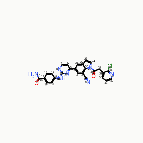 N#Cc1cc(-c2ccnc(Nc3ccc(C(N)=O)cc3)n2)cc2ccn(C(=O)Cc3cccnc3Cl)c12